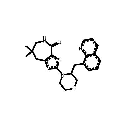 CC1(C)CNC(=O)c2sc(N3CCOCC3Cc3cccc4cccnc34)nc2C1